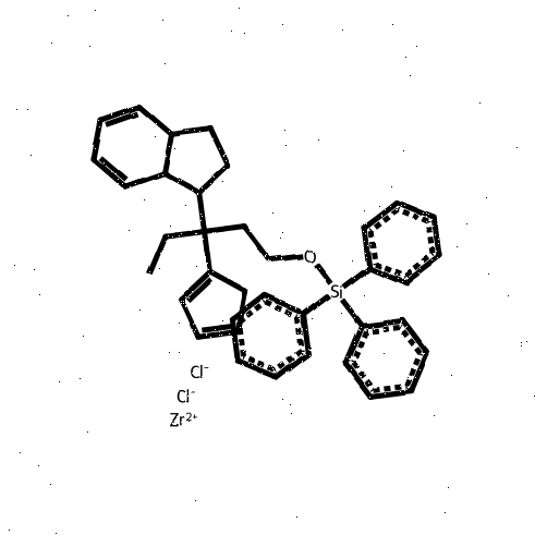 CCC(CCO[Si](c1ccccc1)(c1ccccc1)c1ccccc1)(C1=CC=CC1)C1CCC2C=CC=CC21.[Cl-].[Cl-].[Zr+2]